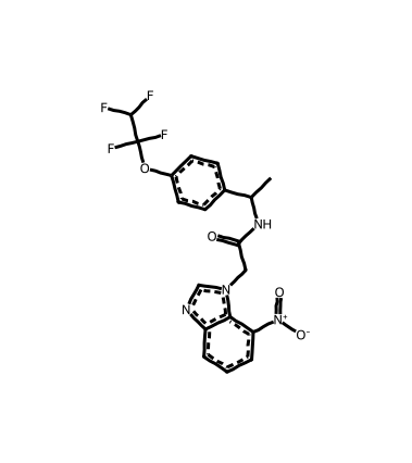 CC(NC(=O)Cn1cnc2cccc([N+](=O)[O-])c21)c1ccc(OC(F)(F)C(F)F)cc1